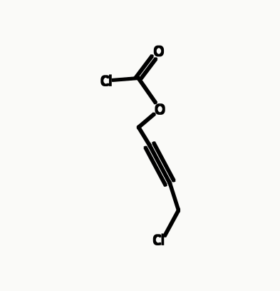 O=C(Cl)OCC#CCCl